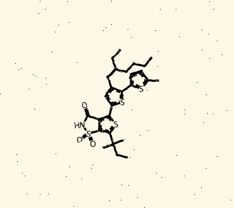 CCCCC(CC)Cc1cc(-c2sc(C(C)(C)CC)c3c2C(=O)NS3(=O)=O)sc1-c1ccc(C)s1